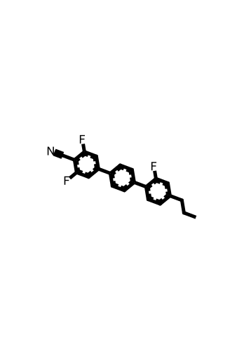 CCCc1ccc(-c2ccc(-c3cc(F)c(C#N)c(F)c3)cc2)c(F)c1